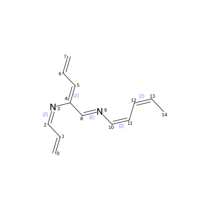 C=C\C=N/C(=C\C=C)/C=N/C=C\C=C/C